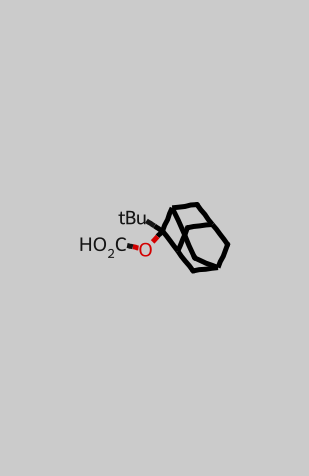 CC(C)(C)C1(OC(=O)O)C2CC3CC(C2)CC1C3